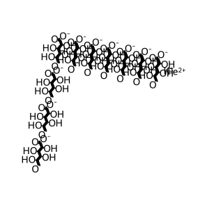 O=C[C@H](O)[C@@H](O)[C@@H](O)[C@H](O)C(=O)[O-].O=C[C@H](O)[C@@H](O)[C@@H](O)[C@H](O)C(=O)[O-].O=C[C@H](O)[C@@H](O)[C@@H](O)[C@H](O)C(=O)[O-].O=C[C@H](O)[C@@H](O)[C@@H](O)[C@H](O)C(=O)[O-].O=C[C@H](O)[C@@H](O)[C@@H](O)[C@H](O)C(=O)[O-].O=C[C@H](O)[C@@H](O)[C@@H](O)[C@H](O)C(=O)[O-].O=C[C@H](O)[C@@H](O)[C@@H](O)[C@H](O)C(=O)[O-].O=C[C@H](O)[C@@H](O)[C@@H](O)[C@H](O)C(=O)[O-].O=C[C@H](O)[C@@H](O)[C@@H](O)[C@H](O)C(=O)[O-].O=C[C@H](O)[C@@H](O)[C@@H](O)[C@H](O)C(=O)[O-].[Fe+2].[K+]